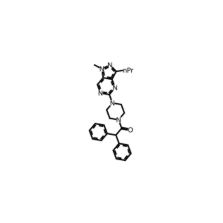 CCCc1nn(C)c2cnc(N3CCN(C(=O)C(c4ccccc4)c4ccccc4)CC3)nc12